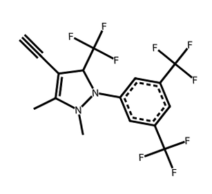 C#CC1=C(C)N(C)N(c2cc(C(F)(F)F)cc(C(F)(F)F)c2)C1C(F)(F)F